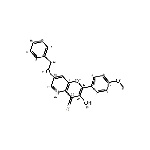 COc1ccc(-c2oc3cc(OCc4ccccc4)cnc3c(=O)c2O)cc1